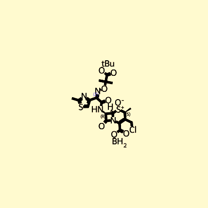 BOC(=O)C1=C(CCl)[C@H](C)[S+]([O-])[C@@H]2[C@H](NC(=O)/C(=N\OC(C)(C)C(=O)OC(C)(C)C)c3csc(C)n3)C(=O)N12